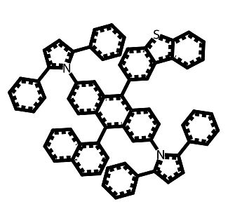 c1ccc(-c2ccc(-c3ccccc3)n2-c2ccc3c(-c4cccc5ccccc45)c4cc(-n5c(-c6ccccc6)ccc5-c5ccccc5)ccc4c(-c4ccc5sc6ccccc6c5c4)c3c2)cc1